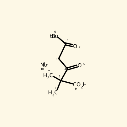 CC(C)(C)C(=O)CC(=O)C(C)(C)C(=O)O.[Nb]